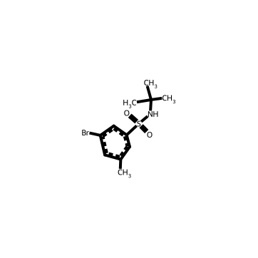 Cc1cc(Br)cc(S(=O)(=O)NC(C)(C)C)c1